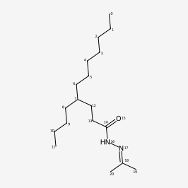 CCCCCCCC(CCCC)CCC(=O)NN=C(C)C